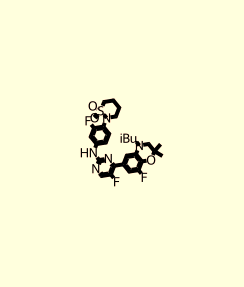 CCC(C)N1CC(C)(C)Oc2c(F)cc(-c3nc(Nc4ccc(N5CCCCS5(=O)=O)c(F)c4)ncc3F)cc21